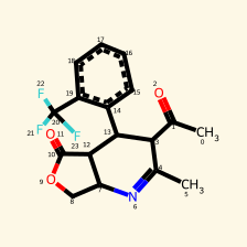 CC(=O)C1C(C)=NC2COC(=O)C2C1c1ccccc1C(F)(F)F